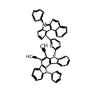 C#Cc1c(C#C)c2c(c3ccccc3n2-c2cccc(-c3cccc4c3c3c5ccccc5ccc3n4-c3ccccc3)n2)c2c1c1ccccc1n2-c1ccccc1